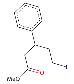 COC(=O)CC(CCI)c1ccccc1